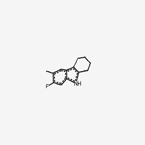 Cc1cc2c3c([nH]c2cc1F)CC[C]C3